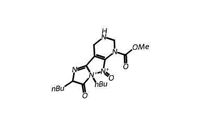 CCCCC1N=C2C3=C(N(C(=O)OC)CNC3)[N+](=O)[N+]2(CCCC)C1=O